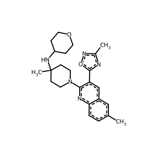 Cc1ccc2nc(N3CCC(C)(NC4CCOCC4)CC3)c(-c3nc(C)no3)cc2c1